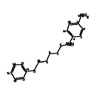 Nc1ccc(NCCCCCCc2ccccc2)cc1